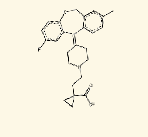 Cc1ccc2c(c1)COc1ccc(F)cc1C2=C1CCN(CCC2(C(=O)O)CC2)CC1